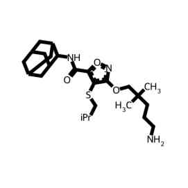 CC(C)CSc1c(OCC(C)(C)CCCN)noc1C(=O)NC1C2CC3CC(C2)CC1C3